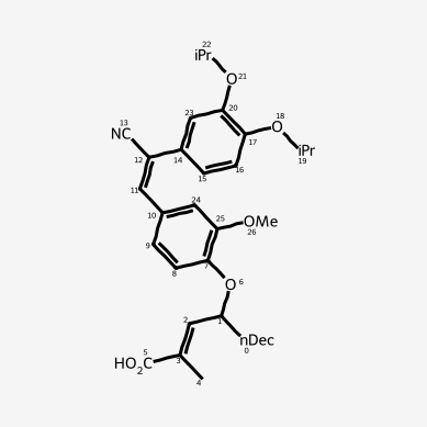 CCCCCCCCCCC(C=C(C)C(=O)O)Oc1ccc(C=C(C#N)c2ccc(OC(C)C)c(OC(C)C)c2)cc1OC